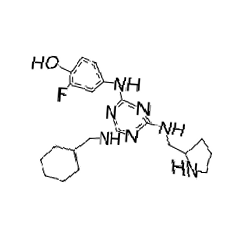 Oc1ccc(Nc2nc(NCC3CCCCC3)nc(NCC3CCCN3)n2)cc1F